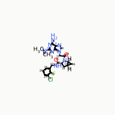 CN(C)c1nc(N)c2ncn(CC(=O)N3[C@@H]4C[C@@H]4C[C@H]3C(=O)NCc3cccc(Cl)c3F)c2n1